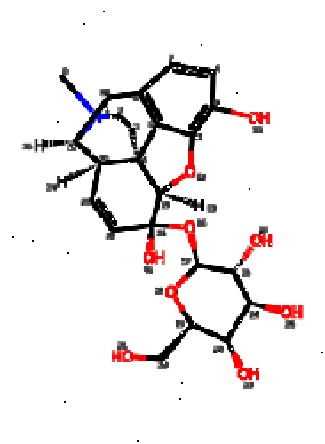 CN1CC[C@]23c4c5ccc(O)c4O[C@H]2[C@](O)(O[C@@H]2O[C@H](CO)[C@H](O)[C@H](O)[C@H]2O)C=C[C@H]3[C@H]1C5